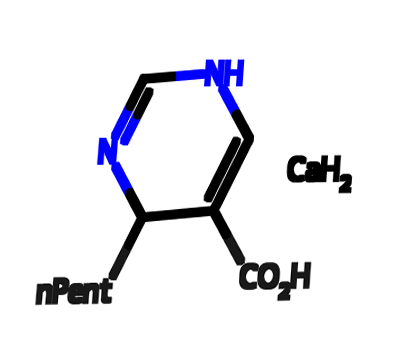 CCCCCC1N=CNC=C1C(=O)O.[CaH2]